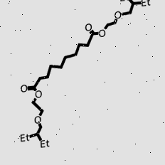 CCC(CC)COCCOC(=O)CCCCCCCCC(=O)OCCOCC(CC)CC